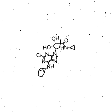 CC1(C(=O)NC2CC2)C[C@@H](n2cnc3c(NC4CC5CCC4C5)nc(Cl)nc32)[C@H](O)[C@@H]1O